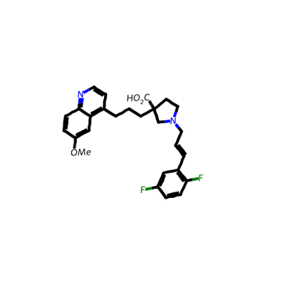 COc1ccc2nccc(CCCC3(C(=O)O)CCN(C/C=C/c4cc(F)ccc4F)C3)c2c1